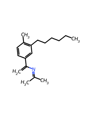 C=C(N=C(C)C)c1ccc(C)c(CCCCCC)c1